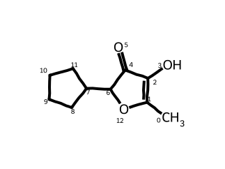 CC1=C(O)C(=O)C(C2CCCC2)O1